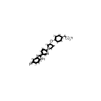 O=C(O)C[C@H]1CC[C@H](O[C@@H]2CCN(c3ccc(-c4nc5cc(F)ccc5[nH]4)cn3)C2)CC1